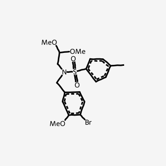 COc1cc(CN(CC(OC)OC)S(=O)(=O)c2ccc(C)cc2)ccc1Br